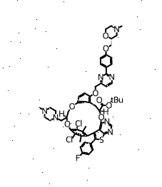 Cc1c(Cl)c2c(Cl)c(C)c1-c1c(-c3ccc(F)cc3)sc3ncnc(c13)O[C@@H](C(=O)OC(C)(C)C)Cc1cc(ccc1OCc1ccnc(-c3ccc(OC[C@H]4CN(C)CCO4)cc3)n1)OC[C@@H](CN1CCN(C)CC1)O2